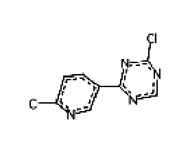 Clc1ccc(-c2ncnc(Cl)n2)cn1